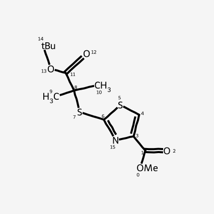 COC(=O)c1csc(SC(C)(C)C(=O)OC(C)(C)C)n1